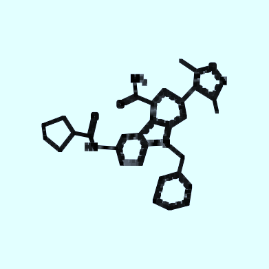 Cc1noc(C)c1-c1cc(C(N)=O)c2c3cc(NC(=O)C4CCCC4)ccc3n(Cc3ccccc3)c2c1